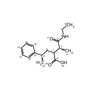 CCNC(=O)[C@@H](C)C(C[C@@H](C)c1ccccc1)C(=O)O